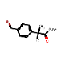 CCC(C)(C(=O)OC)c1ccc(CBr)cc1